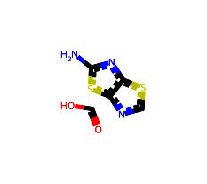 Nc1nc2scnc2s1.O=CO